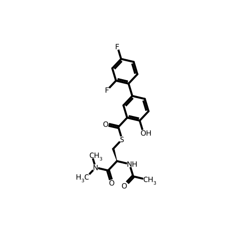 CC(=O)N[C@H](CSC(=O)c1cc(-c2ccc(F)cc2F)ccc1O)C(=O)N(C)C